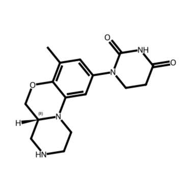 Cc1cc(N2CCC(=O)NC2=O)cc2c1OC[C@H]1CNCCN21